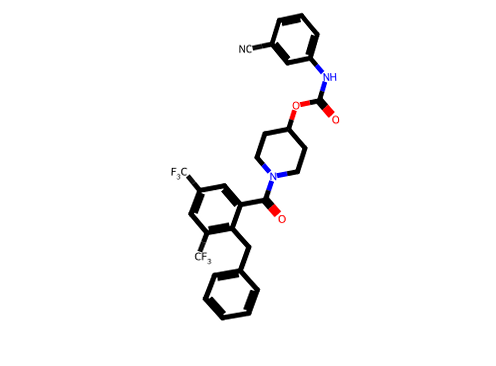 N#Cc1cccc(NC(=O)OC2CCN(C(=O)c3cc(C(F)(F)F)cc(C(F)(F)F)c3Cc3ccccc3)CC2)c1